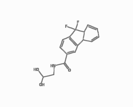 O=C(NCC(O)O)c1ccc2c(c1)C1C=CC=CC1C2(F)F